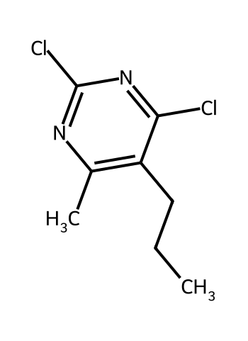 CCCc1c(C)nc(Cl)nc1Cl